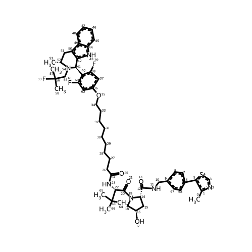 Cc1ncsc1-c1ccc(CNC(=O)[C@@H]2C[C@@H](O)CN2C(=O)[C@@H](NC(=O)CCCCCCCCCOc2cc(F)c([C@@H]3c4[nH]c5ccccc5c4C[C@@H](C)N3CC(C)(C)F)c(F)c2)C(C)(C)C)cc1